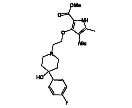 CCCCc1c(C)[nH]c(C(=O)OC)c1OCCN1CCC(O)(c2ccc(F)cc2)CC1